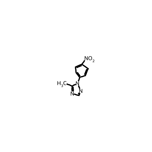 Cc1ncnn1-c1ccc([N+](=O)[O-])cc1